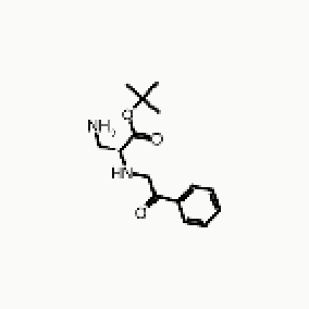 CC(C)(C)OC(=O)[C@H](CN)NCC(=O)c1ccccc1